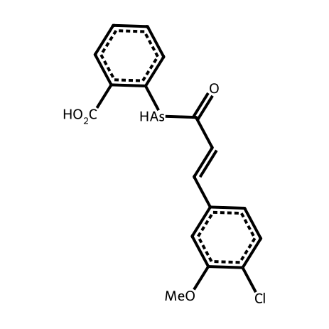 COc1cc(C=CC(=O)[AsH]c2ccccc2C(=O)O)ccc1Cl